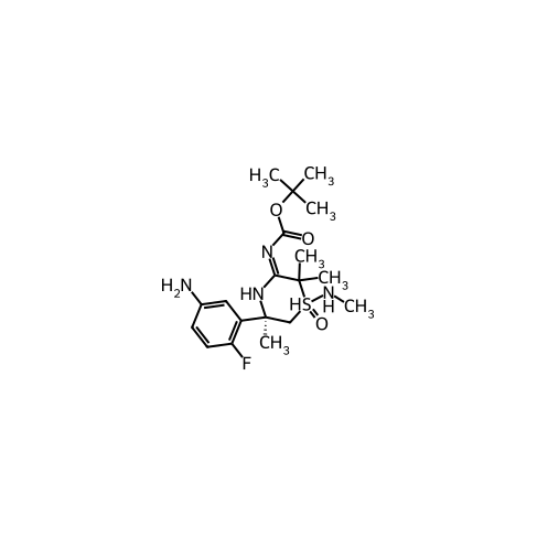 CN[SH]1(=O)C[C@@](C)(c2cc(N)ccc2F)N/C(=N/C(=O)OC(C)(C)C)C1(C)C